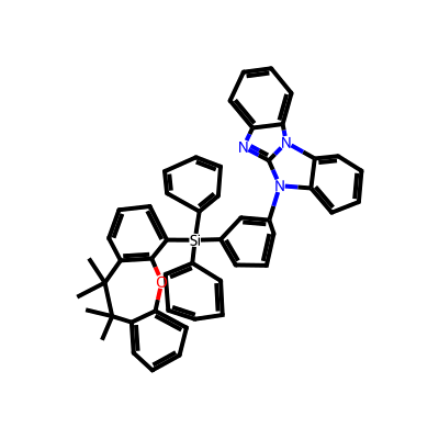 CC1(C)c2ccccc2Oc2c(cccc2[Si](c2ccccc2)(c2ccccc2)c2cccc(-n3c4ccccc4n4c5ccccc5nc34)c2)C1(C)C